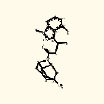 CC(CC(=O)N1C2CC3CC1CC(O)(C3)C2)c1nn(C)c2cccc(F)c12